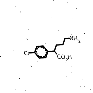 NCCCC(C(=O)O)c1ccc(Cl)cc1